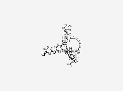 O=C(N[C@H]1CCCCC/C=C\[C@@H]2C[C@@]2(C(=O)NS(=O)(=O)C2CC2)NC(=O)[C@@H]2Cc3cc(Oc4cccc(Cl)c4)ccc3CN2C1=O)OC1CCCC1